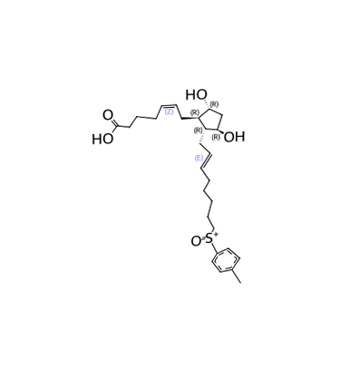 Cc1ccc([S+]([O-])CCCCC/C=C/C[C@@H]2[C@@H](C/C=C\CCCC(=O)O)[C@H](O)C[C@H]2O)cc1